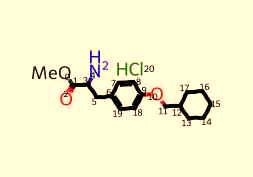 COC(=O)C(N)Cc1ccc(OCC2CCCCC2)cc1.Cl